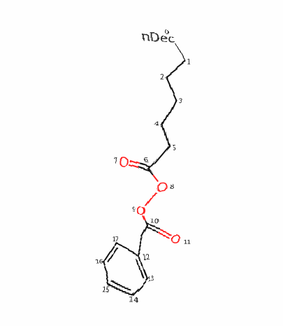 CCCCCCCCCCCCCCCC(=O)OOC(=O)c1ccccc1